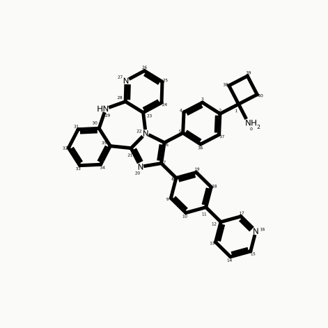 NC1(c2ccc(-c3c(-c4ccc(-c5cccnc5)cc4)nc4n3-c3cccnc3Nc3ccccc3-4)cc2)CCC1